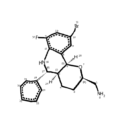 NC[C@H]1CC[C@@H]2[C@H](O1)c1cc(Br)cc(F)c1N[C@H]2c1ccccc1